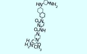 CC(C)(N)C(=O)N1CCN(C(=O)Nc2ccn(-c3ccc4c(c3)CCC(NC3CC[C@@H](N)C3)C4)c(=O)n2)CC1